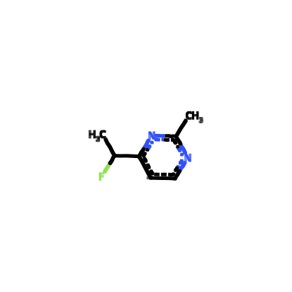 Cc1nc[c]c(C(C)F)n1